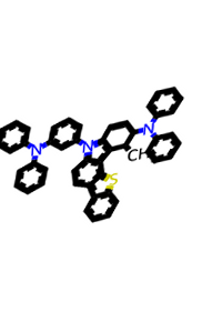 CC1c2c(n(-c3cccc(N(c4ccccc4)c4ccccc4)c3)c3ccc4c5ccccc5sc4c23)C=CC1N(c1ccccc1)c1ccccc1